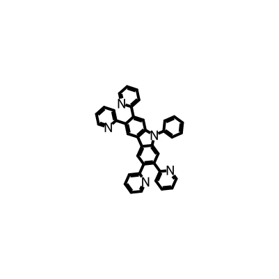 c1ccc(-n2c3cc(-c4ccccn4)c(-c4ccccn4)cc3c3cc(-c4ccccn4)c(-c4ccccn4)cc32)cc1